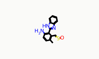 Cc1ccc(N)c(-c2nc3ccccc3[nH]2)c1C=S=O